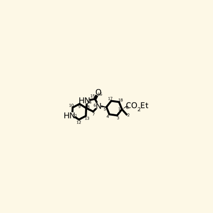 CCOC(=O)[C@]1(C)CC[C@@H](N2CC3(CCNCC3)NC2=O)CC1